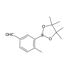 Cc1ccc(C=O)cc1B1OC(C)(C)C(C)(C)O1